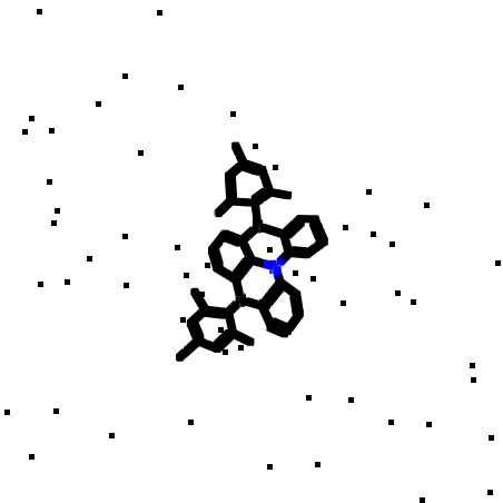 Cc1cc(C)c(B2c3c#cccc3N3c4ccccc4B(c4c(C)cc(C)cc4C)c4cccc2c43)c(C)c1